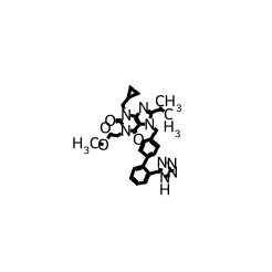 COC(=O)Cn1c(=O)c2c(nc(C(C)C)n2Cc2ccc(-c3ccccc3-c3nnn[nH]3)cc2)n(CC2CC2)c1=O